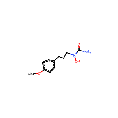 CCCCOc1ccc(CCCN(O)C(N)=O)cc1